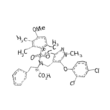 COc1cc(C)c(S(=O)(=O)N(Cc2c(C(F)(F)F)nn(C)c2Oc2ccc(Cl)cc2Cl)[C@@H](Cc2ccccc2)C(=O)O)c(C)c1C